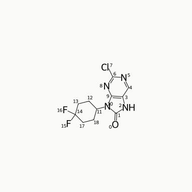 O=c1[nH]c2cnc(Cl)nc2n1C1CCC(F)(F)CC1